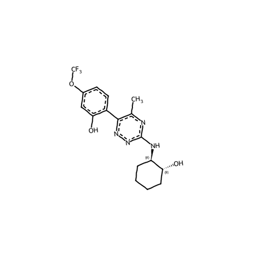 Cc1nc(N[C@@H]2CCCC[C@H]2O)nnc1-c1ccc(OC(F)(F)F)cc1O